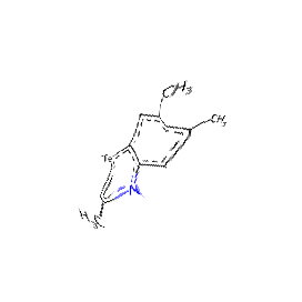 Cc1nc2cc(C)c(C)cc2[te]1